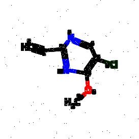 C#Cc1ncc(Cl)c(OC)n1